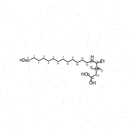 CCCCCCCCCCCCCCCCCCCCCCNC(CC)[N+](C)(C)CC(O)O